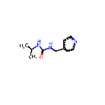 CC(C)NC(=O)NCc1ccncc1